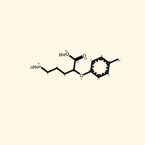 CCCCCCCCCCCCC(Oc1ccc(C)cc1)C(=O)OC